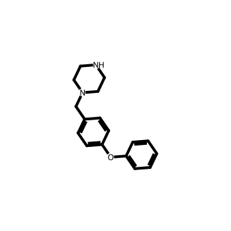 c1ccc(Oc2ccc(CN3CCNCC3)cc2)cc1